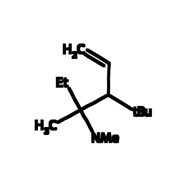 C=CC(C(C)(C)C)C(C)(CC)NC